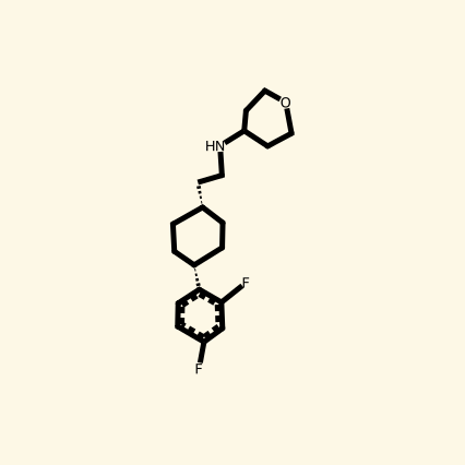 Fc1ccc([C@H]2CC[C@@H](CCNC3CCOCC3)CC2)c(F)c1